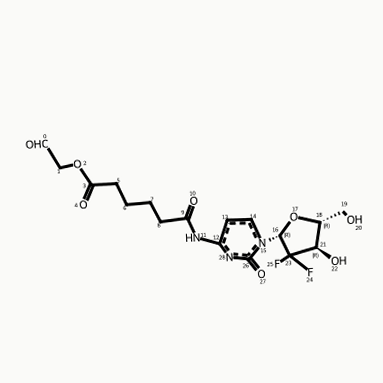 O=CCOC(=O)CCCCC(=O)Nc1ccn([C@@H]2O[C@H](CO)[C@@H](O)C2(F)F)c(=O)n1